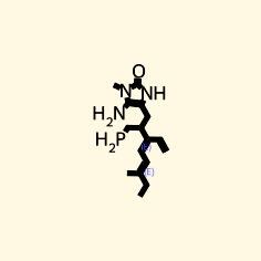 C=C/C(=C\C=C(/C)CC)C(CP)Cc1[nH]c(=O)n(C)c1N